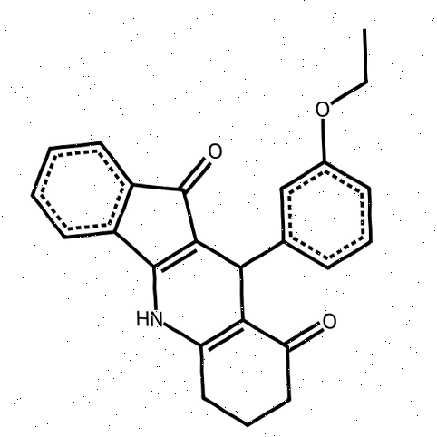 CCOc1cccc(C2C3=C(CCCC3=O)NC3=C2C(=O)c2ccccc23)c1